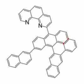 c1ccc(-c2cc3ccccc3cc2-c2c3ccccc3c(-c3ccc4ccc5cccnc5c4n3)c3ccc(-c4ccc5ccccc5c4)cc23)cc1